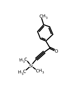 Cc1ccc(C(=O)C#C[Si](C)(C)C)cc1